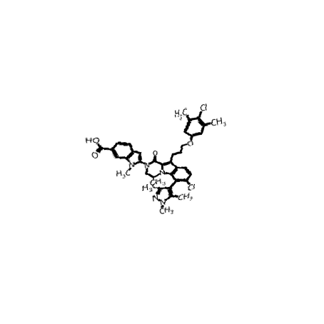 Cc1cc(OCCCc2c3n(c4c(-c5c(C)nn(C)c5C)c(Cl)ccc24)[C@H](C)CN(c2cc4ccc(C(=O)O)cc4n2C)C3=O)cc(C)c1Cl